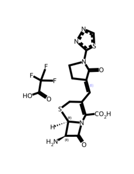 N[C@@H]1C(=O)N2C(C(=O)O)=C(/C=C3\CCN(c4nncs4)C3=O)CS[C@H]12.O=C(O)C(F)(F)F